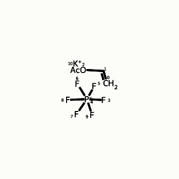 C=COC(C)=O.F[P-](F)(F)(F)(F)F.[K+]